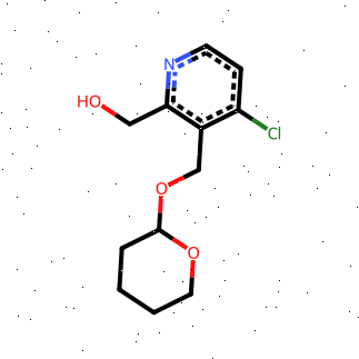 OCc1nccc(Cl)c1COC1CCCCO1